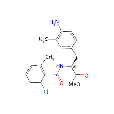 COC(=O)[C@H](Cc1ccc(N)c(C)c1)NC(=O)c1c(C)cccc1Cl